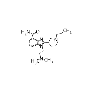 CCCN1CCCC(c2nc3c(C(N)=O)cccc3n2CCN(C)C)C1